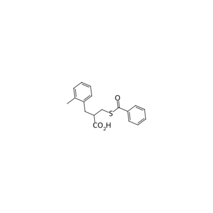 Cc1ccccc1CC(CSC(=O)c1ccccc1)C(=O)O